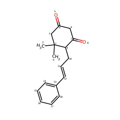 CC1(C)CC(=O)CC(=O)C1C/C=C/c1ccccc1